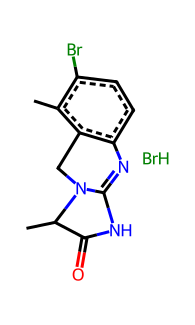 Br.Cc1c(Br)ccc2c1CN1C(=N2)NC(=O)C1C